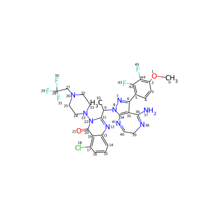 COc1ccc(-c2nn(C(C)c3nc4cccc(Cl)c4c(=O)n3N3CCN(CC(F)(F)F)CC3)c3c2C(N)=NCC=N3)c(F)c1F